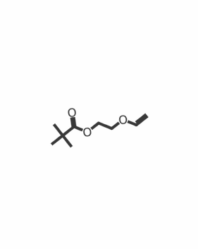 C=COCCOC(=O)C(C)(C)C